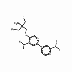 CC(C)C[C@](N)(CF)COc1cnc(-c2ccnc(C(F)F)c2)cc1C(F)F